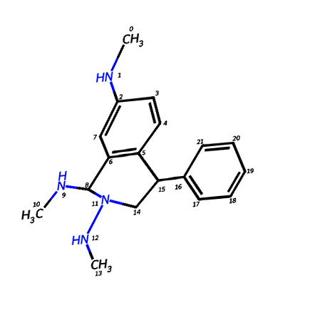 CNc1ccc2c(c1)C(NC)N(NC)CC2c1ccccc1